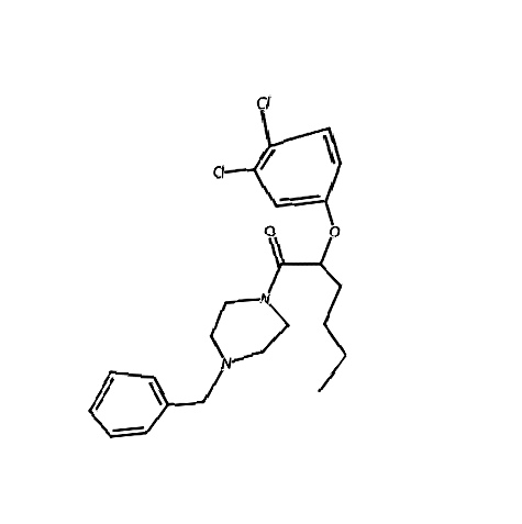 CCCCC(Oc1ccc(Cl)c(Cl)c1)C(=O)N1CCN(Cc2ccccc2)CC1